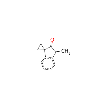 CC1C(=O)C2(CC2)c2ccccc21